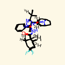 [2H]C(C)(C)c1nnc(C)n1C1CC2CCC(C1)N2C([2H])([2H])CC(NC(=O)C1([2H])C([2H])([2H])CC(F)(F)CC1([2H])[2H])c1ccccc1